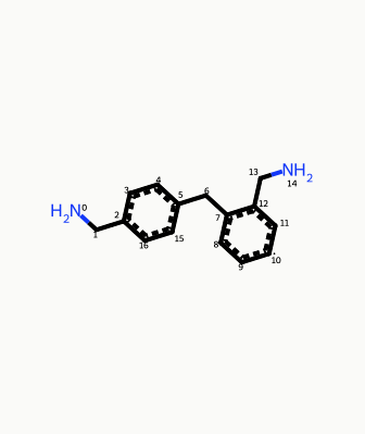 NCc1ccc(Cc2cc[c]cc2CN)cc1